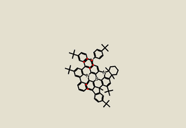 CC(C)(C)c1ccc(N(c2ccc(C(C)(C)C)cc2)c2cc3c4c(c2)N2c5c(cc(C(C)(C)C)c6c5B4c4c(ccc5c4C6(C)c4cc(C(C)(C)C)ccc4-5)N3c3c(-c4ccccc4)cc(C(C)(C)C)cc3-c3ccccc3)C3(C)CCCCC23C)cc1